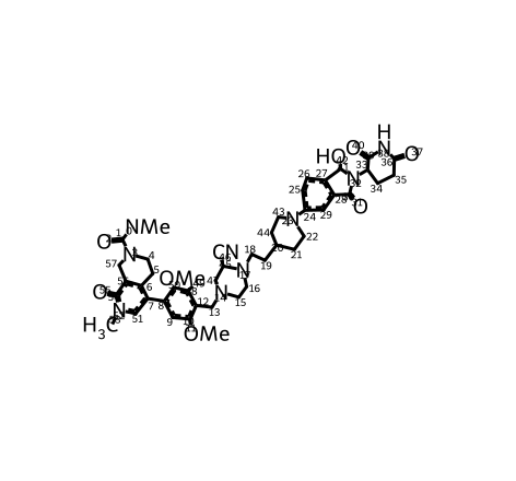 CNC(=O)N1CCc2c(-c3cc(OC)c(CN4CCN(CCC5CCN(c6ccc7c(c6)C(=O)N(C6CCC(=O)NC6=O)C7O)CC5)C(C#N)C4)c(OC)c3)cn(C)c(=O)c2C1